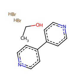 Br.Br.CCO.c1cc(-c2ccncc2)ccn1